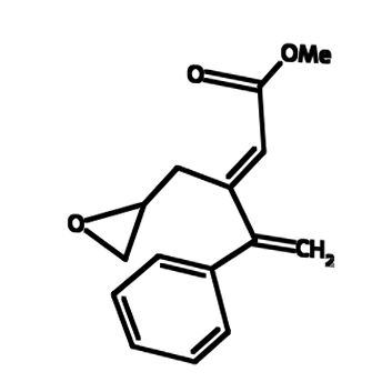 C=C(C(=CC(=O)OC)CC1CO1)c1ccccc1